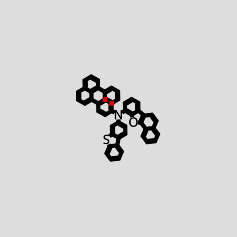 c1ccc(-c2cccc3cccc(-c4ccc(N(c5ccc6c(c5)sc5ccccc56)c5cccc6c5oc5c7ccccc7ccc65)cc4)c23)cc1